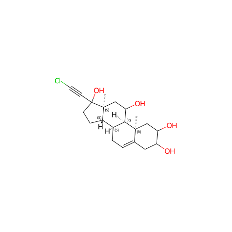 C[C@]12CC(O)C(O)CC1=CC[C@@H]1[C@H]2C(O)C[C@@]2(C)[C@H]1CCC2(O)C#CCl